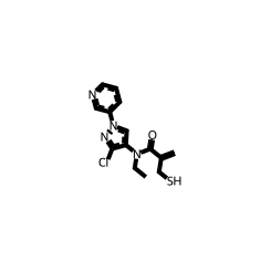 C=C(CS)C(=O)N(CC)c1cn(-c2cccnc2)nc1Cl